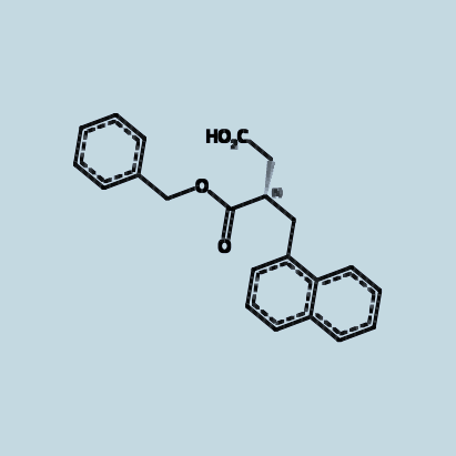 O=C(O)C[C@H](Cc1cccc2ccccc12)C(=O)OCc1ccccc1